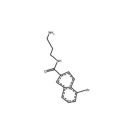 CCCc1cccc2cc(C(=O)NCCCN)ccc12